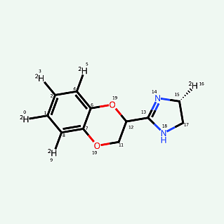 [2H]c1c([2H])c([2H])c2c(c1[2H])OCC(C1=N[C@H]([2H])CN1)O2